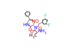 C[C@H](N)C(=O)N(C(=O)[C@H](O)c1cc(F)cc(F)c1)[C@H]1CC=C(c2ccccc2)CNC1=O